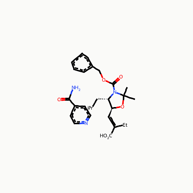 CC/C(=C\[C@@H]1OC(C)(C)N(C(=O)OCc2ccccc2)[C@H]1CC(C)C)C(=O)O.NC(=O)c1ccncc1